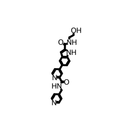 O=C(NCc1ccncc1)c1cc(-c2ccc3[nH]c(C(=O)NCCO)cc3c2)ccn1